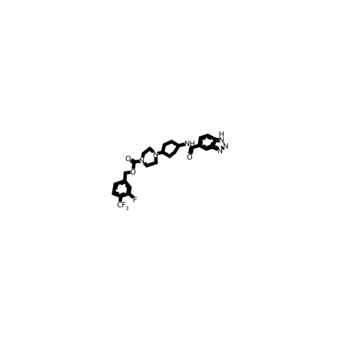 O=C(NC1CCC(N2CCN(C(=O)OCc3ccc(C(F)(F)F)c(F)c3)CC2)CC1)c1ccc2[nH]nnc2c1